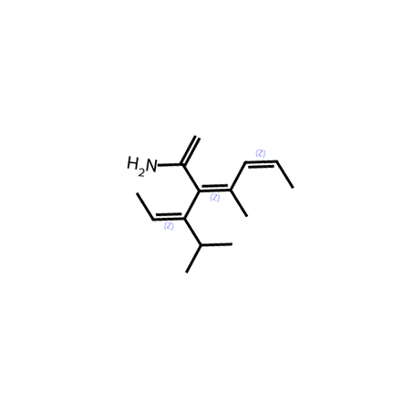 C=C(N)C(/C(=C\C)C(C)C)=C(C)\C=C/C